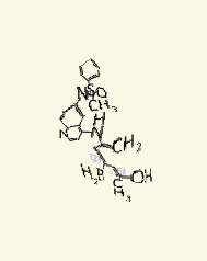 BC(=C/C(=C)Nc1ccnc2ccc(N=[S@](C)(=O)c3ccccc3)cc12)/C=C(\C)O